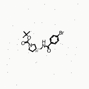 CC(C)(C)OC(=O)N1CC[C@@H](CNC(=O)c2ccc(Br)cc2)C1